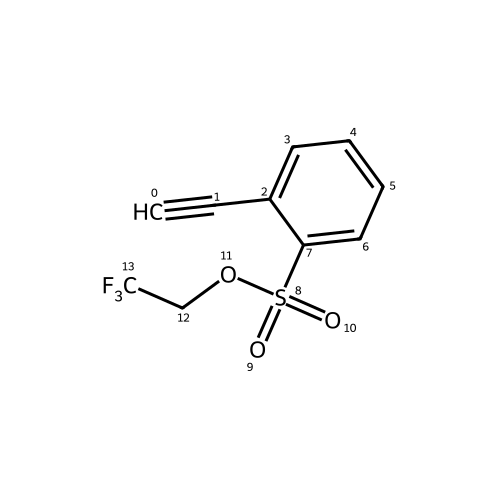 C#Cc1ccccc1S(=O)(=O)OCC(F)(F)F